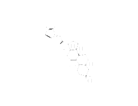 CC[C@]12CC[C@@](C)(O)C[C@@H]1CC[C@H]1[C@@H]3CC[C@H](C(=O)Cn4ccnc4F)[C@@]3(C)CC[C@@H]12